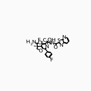 C[C@]1(C(N)=O)COc2c1cc(C(O)(CNC(=O)c1nc3cccnc3s1)C(F)(F)F)nc2-c1ccc(F)cc1